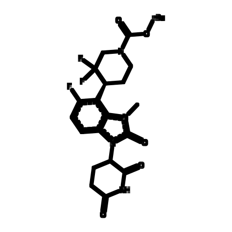 CCCCOC(=O)N1CC[C@@H](c2c(F)ccc3c2n(C)c(=O)n3C2CCC(=O)NC2=O)C(F)(F)C1